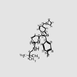 CC(C)(C)CNc1nccc(-c2c(-c3ccc(F)cc3)nc3cc(CN4CCC4)ccn23)n1